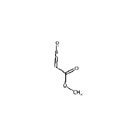 COC(=O)C=C=O